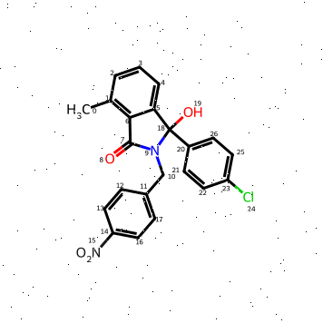 Cc1cccc2c1C(=O)N(Cc1ccc([N+](=O)[O-])cc1)C2(O)c1ccc(Cl)cc1